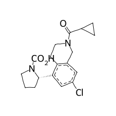 O=C(C1CC1)N1CCc2c(cc(Cl)cc2[C@@H]2CCCN2C(=O)O)C1